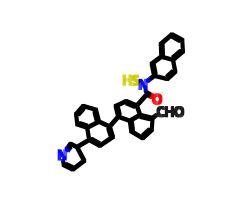 O=Cc1cccc2c(-c3ccc(C4C=NC=CC4)c4ccccc34)ccc(C(=O)N(S)c3ccc4ccccc4c3)c12